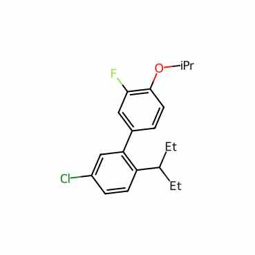 CCC(CC)c1ccc(Cl)cc1-c1ccc(OC(C)C)c(F)c1